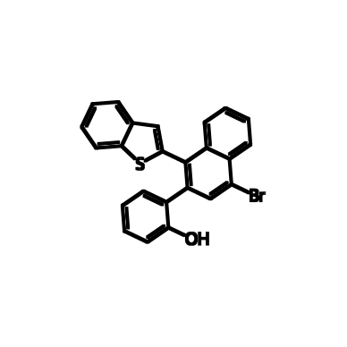 Oc1ccccc1-c1cc(Br)c2ccccc2c1-c1cc2ccccc2s1